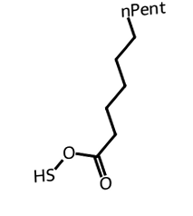 CCCCCCCCCCC(=O)OS